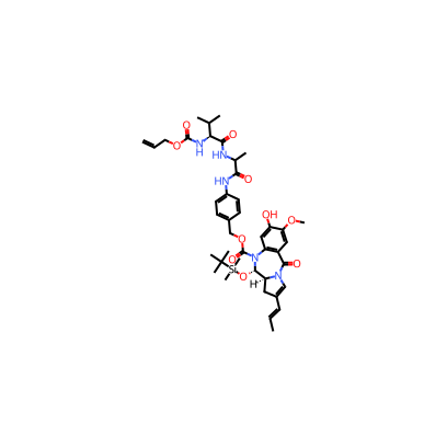 C=CCOC(=O)N[C@H](C(=O)NC(C)C(=O)Nc1ccc(COC(=O)N2c3cc(O)c(OC)cc3C(=O)N3C=C(/C=C/C)C[C@H]3[C@@H]2O[Si](C)(C)C(C)(C)C)cc1)C(C)C